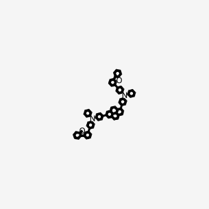 c1ccc(N(c2ccc(-c3cc4ccc5ccc(-c6ccc(N(c7ccccc7)c7ccc(-c8cccc9c8oc8ccccc89)cc7)cc6)c6ccc(c3)c4c56)cc2)c2ccc(-c3cccc4c3oc3ccccc34)cc2)cc1